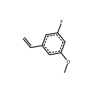 C=Cc1cc(F)cc(OC)c1